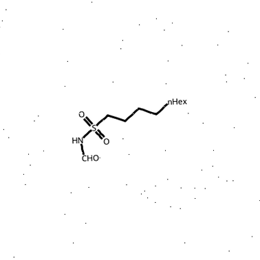 CCCCCCCCCCS(=O)(=O)N[C]=O